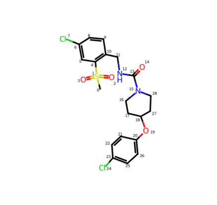 CS(=O)(=O)c1cc(Cl)ccc1CNC(=O)N1CCC(Oc2ccc(Cl)cc2)CC1